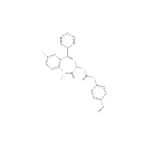 C=Cc1ccc(NC(=S)NC2N=C(c3ccccc3)c3cc(Cl)ccc3N(C)C2=O)cc1